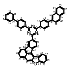 C1=CC(c2nc(-c3ccc(-c4ccccc4)cc3)nc(-c3ccc4c(c3)-c3cccc5cc6oc7ccccc7c6c-4c35)n2)CC=C1c1ccc2ccccc2c1